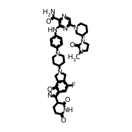 CN1CCN([C@@H]2CCCN(c3cnc(C(N)=O)c(Nc4ccc(N5CCC(N6Cc7c(F)cc8c(C9CCC(=O)NC9=O)noc8c7C6)CC5)cc4)n3)C2)C1=O